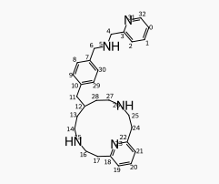 c1ccc(CNCc2ccc(CC3CCNCCc4cccc(n4)CCNCC3)cc2)nc1